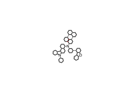 c1ccc(-c2cccc3cccc(-c4ccc(N(c5cccc(-c6cccc7oc8ccccc8c67)c5)c5cccc6c5ccc5c6c6ccccc6n5-c5ccccc5)cc4)c23)cc1